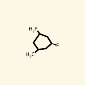 CC1CC(P)C[C@@H](F)C1